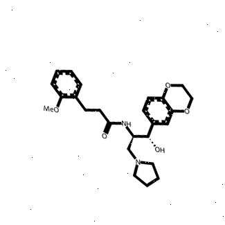 COc1ccccc1CCC(=O)N[C@H](CN1CCCC1)[C@@H](O)c1ccc2c(c1)OCCO2